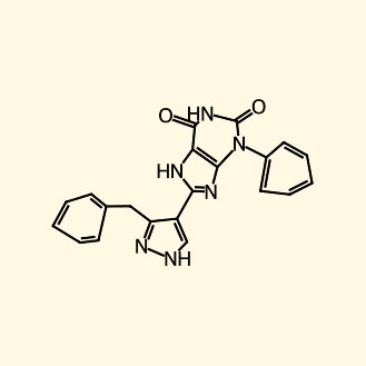 O=c1[nH]c(=O)n(-c2ccccc2)c2nc(-c3c[nH]nc3Cc3ccccc3)[nH]c12